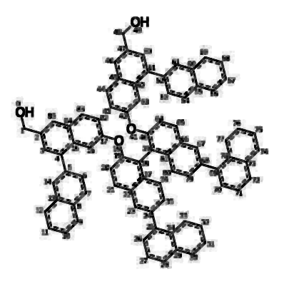 OCc1cc(-c2ccc3ccccc3c2)c2cc(Oc3ccc4cc(-c5cccc6ccccc56)ccc4c3-c3c(Oc4ccc5cc(CO)cc(-c6ccc7ccccc7c6)c5c4)ccc4cc(-c5cccc6ccccc56)ccc34)ccc2c1